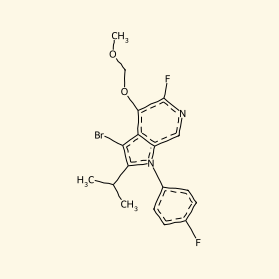 COCOc1c(F)ncc2c1c(Br)c(C(C)C)n2-c1ccc(F)cc1